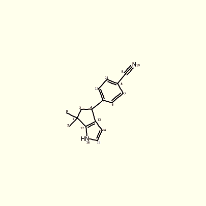 CC1(C)CC(c2ccc(C#N)cc2)c2cc[nH]c21